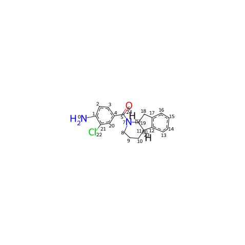 Nc1ccc(C(=O)N2CCC[C@@H]3c4ccccc4C[C@@H]32)cc1Cl